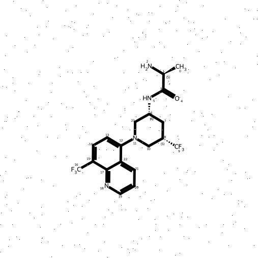 C[C@H](N)C(=O)N[C@@H]1C[C@H](C(F)(F)F)CN(c2ccc(C(F)(F)F)c3ncccc23)C1